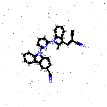 C#C/C(C#N)=C\c1c(C)n(-c2cccc(-n3c4ccccc4c4cc(C#N)ccc43)n2)c2ccccc12